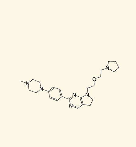 CN1CCN(c2ccc(-c3ncc4c(n3)N(CCOCCN3CCCC3)CC4)cc2)CC1